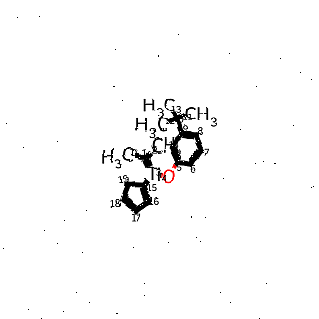 C[C](C)=[Ti]([O]c1cccc(C(C)(C)C)c1)[C]1=CC=CC1